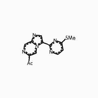 CSc1ccnc(-c2cnc3cnc(C(C)=O)cn23)n1